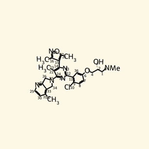 CNC[C@@H](O)COc1ccc(Cl)c(-c2nc(-c3c(C)noc3C)c(C)c(N3Cc4nccc(C)c4C3)n2)c1